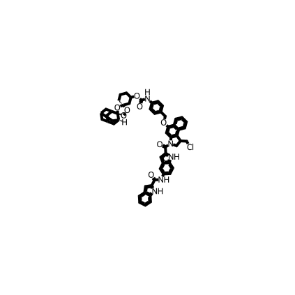 O=C(Nc1ccc(COc2cc3c(c4ccccc24)C(CCl)CN3C(=O)c2cc3cc(NC(=O)c4cc5ccccc5[nH]4)ccc3[nH]2)cc1)OC1CCC[C@]2(C1)OO[C@]1(O2)C2CC3CC(C2)C[C@@H]1C3